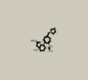 C=C(C)[C@@H]1CC[C@@](C)(CC(=O)OC)C[C@H]1C1=CC=C(CN2CCCC2)CC=C1